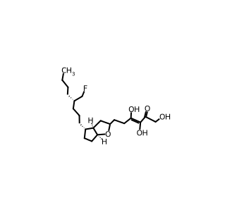 CCCC[C@H](CF)CCC[C@H]1CC[C@@H]2OC(CCC(O)=C(O)C(=O)CO)C[C@H]12